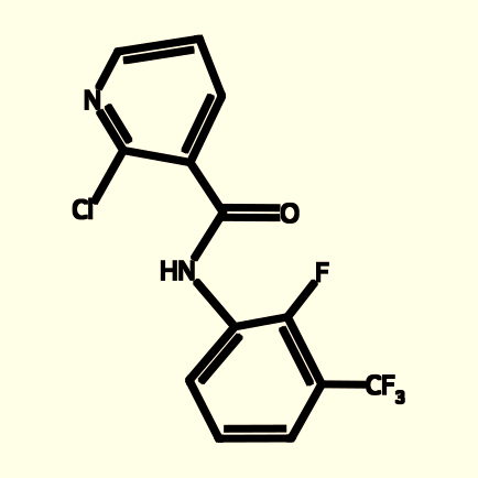 O=C(Nc1cccc(C(F)(F)F)c1F)c1cccnc1Cl